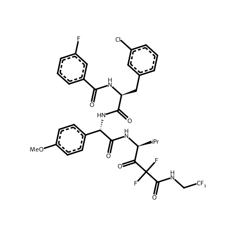 COc1ccc([C@H](NC(=O)[C@H](Cc2cccc(Cl)c2)NC(=O)c2cccc(F)c2)C(=O)N[C@H](C(=O)C(F)(F)C(=O)NCC(F)(F)F)C(C)C)cc1